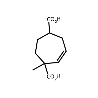 CC1(C(=O)O)C=CCC(C(=O)O)CC1